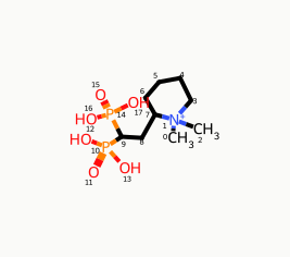 C[N+]1(C)CCCCC1CC(P(=O)(O)O)P(=O)(O)O